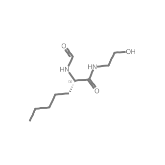 CCCCC[C@H](NC=O)C(=O)NCCO